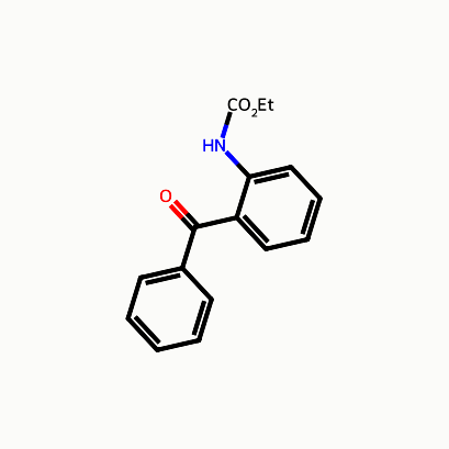 CCOC(=O)Nc1ccccc1C(=O)c1ccccc1